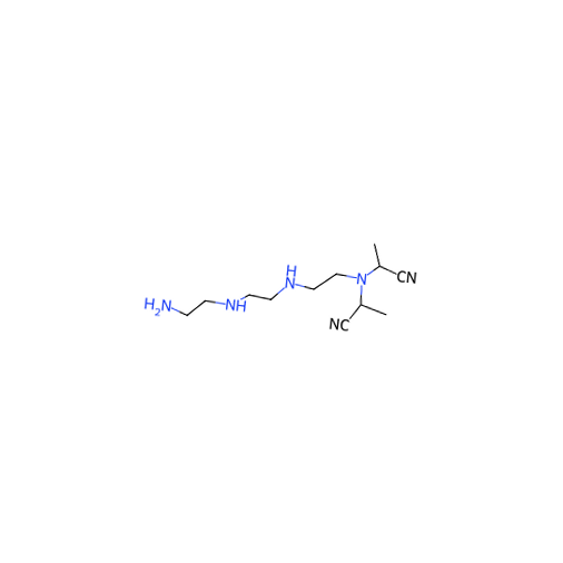 CC(C#N)N(CCNCCNCCN)C(C)C#N